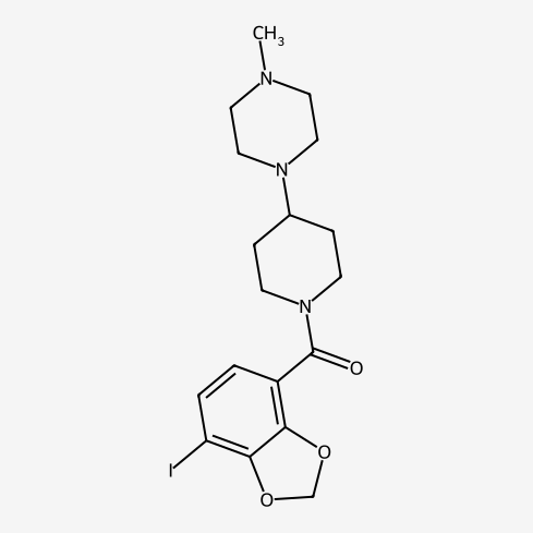 CN1CCN(C2CCN(C(=O)c3ccc(I)c4c3OCO4)CC2)CC1